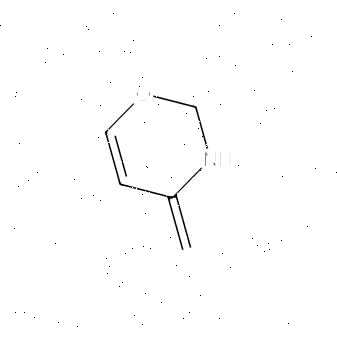 C=C1C=COCN1